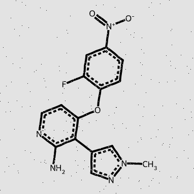 Cn1cc(-c2c(Oc3ccc([N+](=O)[O-])cc3F)ccnc2N)cn1